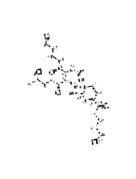 CC(Cl)CCC(=O)c1c(C(=O)CCCCCl)ccc2c1Cc1cc(C(=O)CCCCCl)ccc1-2